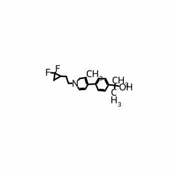 CC1=C(c2ccc(C(C)(C)O)cc2)C=CN(CCC2CC2(F)F)C1